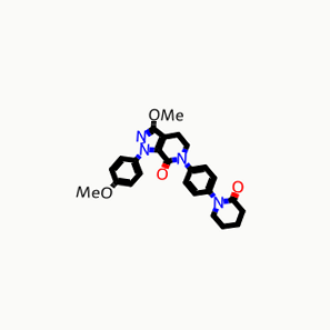 COc1ccc(-n2nc(OC)c3c2C(=O)N(c2ccc(N4CCCCC4=O)cc2)CC3)cc1